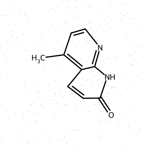 Cc1ccnc2[nH]c(=O)ccc12